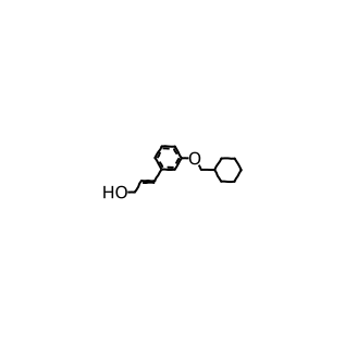 OC/C=C/c1cccc(OCC2CCCCC2)c1